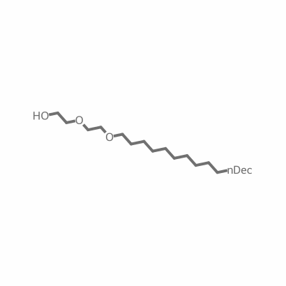 CCCCCCCCCCCCCCCCCCCCOCCOCCO